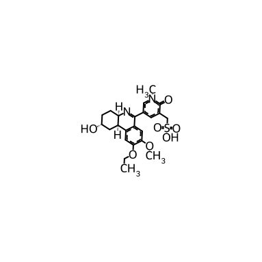 CCOc1cc2c(cc1OC)C(c1cc(CS(=O)(=O)O)c(=O)n(C)c1)=N[C@@H]1CC[C@@H](O)C[C@H]21